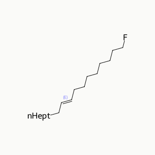 CCCCCCCC/C=C/CCCCCCCCF